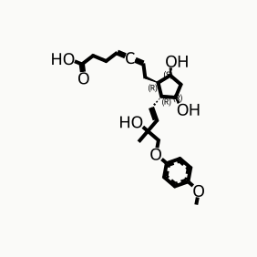 COc1ccc(OCC(C)(O)C=C[C@@H]2[C@@H](CC=C=CCCC(=O)O)[C@@H](O)C[C@H]2O)cc1